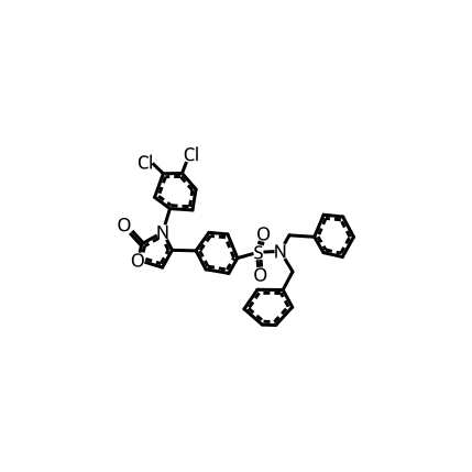 O=c1occ(-c2ccc(S(=O)(=O)N(Cc3ccccc3)Cc3ccccc3)cc2)n1-c1ccc(Cl)c(Cl)c1